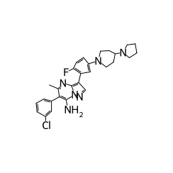 Cc1nc2c(-c3cc(N4CCC(N5CCCC5)CC4)ccc3F)cnn2c(N)c1-c1cccc(Cl)c1